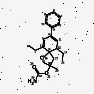 CCC1=CC(c2ccccc2)=CC(CC)C1(Cl)CC(C)(C)OC(N)=O